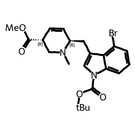 COC(=O)[C@@H]1C=C[C@@H](Cc2cn(C(=O)OC(C)(C)C)c3cccc(Br)c23)N(C)C1